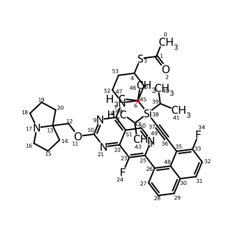 CC(=O)SC1CCN(c2nc(OCC34CCCN3CCC4)nc3c(F)c(-c4cccc5ccc(F)c(C#C[Si](C(C)C)(C(C)C)C(C)C)c45)ncc23)CC1